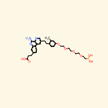 Cc1cc(OCCOCCOCCOCCP(O)O)ccc1CCc1cnc2c(N)nc3cc(CCC(=O)O)ccc3c2c1